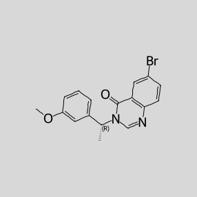 COc1cccc([C@@H](C)n2cnc3ccc(Br)cc3c2=O)c1